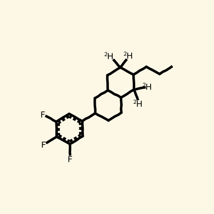 [2H]C1([2H])CC2CC(c3cc(F)c(F)c(F)c3)CCC2C([2H])([2H])C1CCC